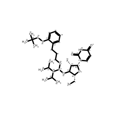 [2H]C[C@H]1O[C@@H](n2ccc(=O)[nH]c2=O)[C@@H](F)C1OP(OCCCc1ccccc1SSC(C)(C)C)N(C(C)C)C(C)C